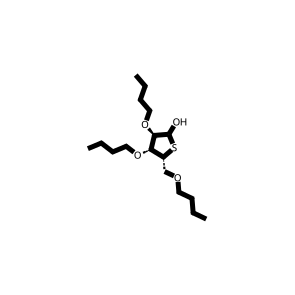 CCCCOC[C@H]1SC(O)[C@H](OCCCC)[C@H]1OCCCC